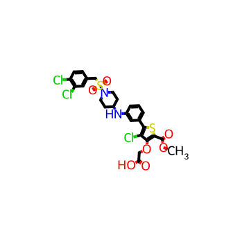 COC(=O)c1sc(-c2cccc(NC3CCN(S(=O)(=O)Cc4ccc(Cl)c(Cl)c4)CC3)c2)c(Cl)c1OCC(=O)O